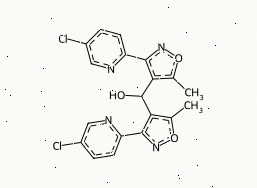 Cc1onc(-c2ccc(Cl)cn2)c1C(O)c1c(-c2ccc(Cl)cn2)noc1C